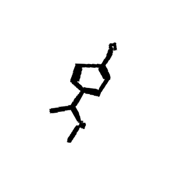 C[Te]C(C)c1ccc(Cl)cc1